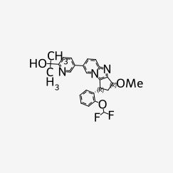 CO[C@@H]1C[C@H](c2ccccc2OC(F)F)c2c1nc1ccc(-c3ccc(C(C)(C)O)nc3)cn21